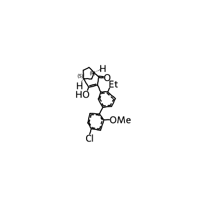 CCc1ccc(-c2ccc(Cl)cc2OC)cc1C1=C(O)[C@H]2CC[C@H](C2)C1=O